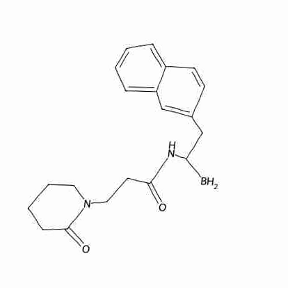 BC(Cc1ccc2ccccc2c1)NC(=O)CCN1CCCCC1=O